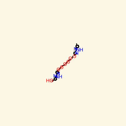 Cc1ccc2[nH]c(-c3ccc(OCCOCCOCCOCCOCCOc4ccc(-c5nc6cc(CO)ccc6[nH]5)nc4)cn3)nc2c1